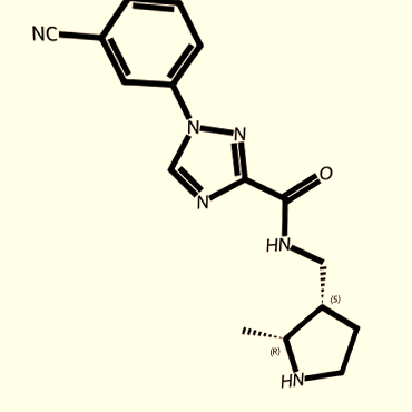 C[C@H]1NCC[C@H]1CNC(=O)c1ncn(-c2cccc(C#N)c2)n1